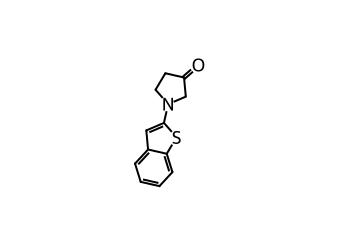 O=C1CCN(c2cc3ccccc3s2)C1